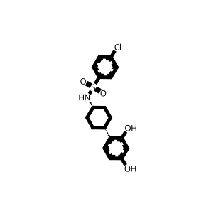 O=S(=O)(N[C@H]1CC[C@@H](c2ccc(O)cc2O)CC1)c1ccc(Cl)cc1